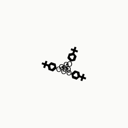 CC(C)(C)c1ccc(OOP(=O)(OOc2ccc(C(C)(C)C)cc2)OOc2ccc(C(C)(C)C)cc2)cc1